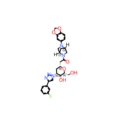 O=C(C[C@H]1C[C@@H](n2cc(-c3cccc(F)c3)nn2)[C@@H](O)[C@@H](CO)O1)N1C[C@@H]2C[C@H]1CN2c1ccc2c(c1)OCO2